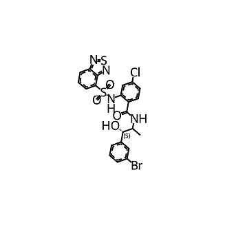 CC(NC(=O)c1ccc(Cl)cc1NS(=O)(=O)c1cccc2nsnc12)[C@@H](O)c1cccc(Br)c1